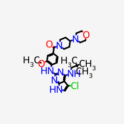 COc1cc(C(=O)N2CCC(N3CCOCC3)CC2)ccc1Nc1nc(NCC(C)(C)C)c2c(Cl)c[nH]c2n1